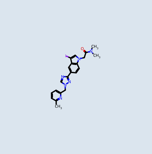 Cc1cccc(Cn2cnc(-c3ccc4c(c3)c(I)cn4CC(=O)N(C)C)n2)n1